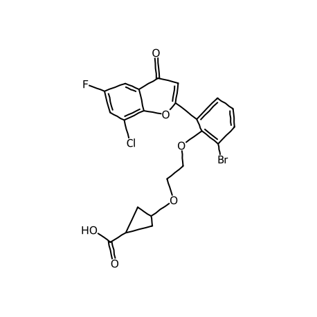 O=C(O)C1CC(OCCOc2c(Br)cccc2-c2cc(=O)c3cc(F)cc(Cl)c3o2)C1